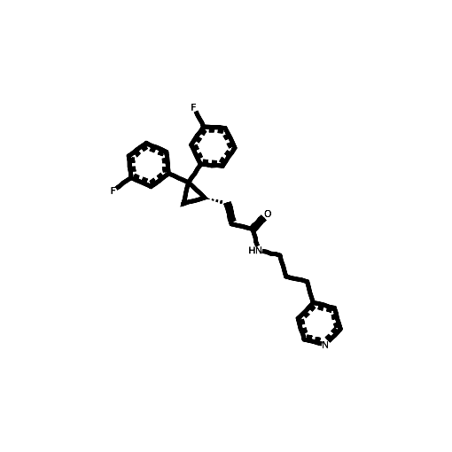 O=C(/C=C/[C@@H]1CC1(c1cccc(F)c1)c1cccc(F)c1)NCCCc1ccncc1